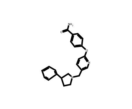 NC(=O)c1ccc(Oc2ccc(CN3CCC(c4ccccc4)C3)cn2)cc1